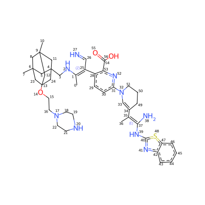 C/C(NCC12CC3(C)CC(C)(C1)CC(OCCN1CCNCC1)(C3)C2)=C(/C=N)c1ccc(N2C=C(/C(C)=C(\N)Nc3nc4ccccc4s3)CCC2)nc1C(=O)O